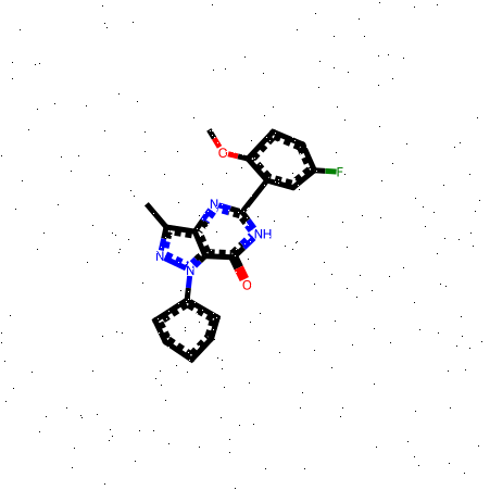 COc1ccc(F)cc1-c1nc2c(C)nn(-c3ccccc3)c2c(=O)[nH]1